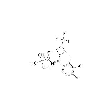 CC(C)(C)[S+]([O-])N=C(c1ccc(F)c(Cl)c1F)C1CC(C(F)(F)F)C1